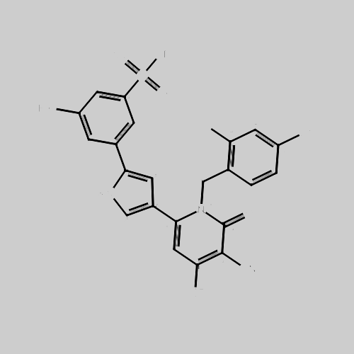 CCCS(=O)(=O)c1cc(-c2cc(-c3cc(C(F)(F)F)c(C#N)c(=O)n3Cc3ccc(F)cc3F)cs2)cc(C(F)(F)F)c1